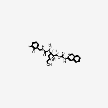 CN(C(=O)NCc1cccc(F)c1Cl)[C@](C)(C[C@H](O)CO)C(S)COC(=O)Nc1cc2ccccc2cn1